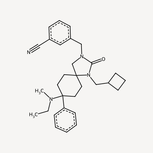 CCN(C)C1(c2ccccc2)CCC2(CC1)CN(Cc1cccc(C#N)c1)C(=O)N2CC1CCC1